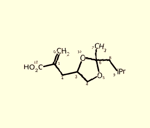 C=C(CC1COC(C)(CC(C)C)O1)C(=O)O